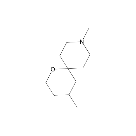 CC1CCOC2(CCN(C)CC2)C1